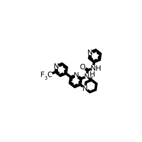 O=C(Nc1cccnc1)N1c2nc(-c3ccnc(C(F)(F)F)c3)ccc2N2CCC[C@H]1C2